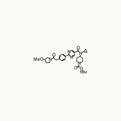 COC1CCN(C(=O)Cc2ccc(-c3ncc(C(=O)N(C4CC4)C4CCN(C(=O)OC(C)(C)C)CC4)cn3)cc2)C1